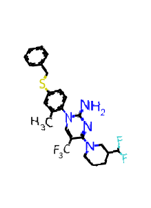 Cc1cc(SCc2ccccc2)ccc1N1C=C(C(F)(F)F)C(N2CCCC(C(F)F)C2)=NC1N